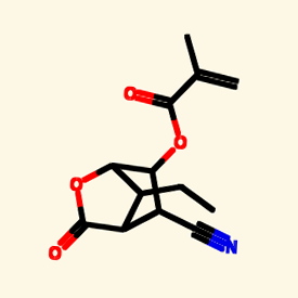 C=C(C)C(=O)OC1C(C#N)C2C(=O)OC1C2CC